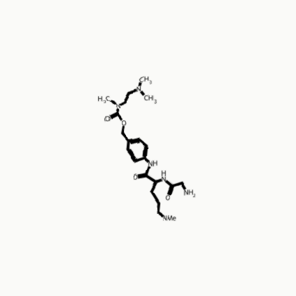 CNCCCC(NC(=O)CN)C(=O)Nc1ccc(COC(=O)N(C)CCN(C)C)cc1